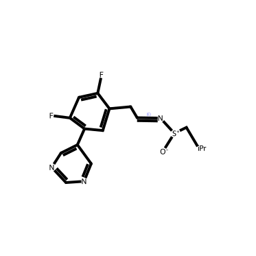 CC(C)C[S+]([O-])/N=C/Cc1cc(-c2cncnc2)c(F)cc1F